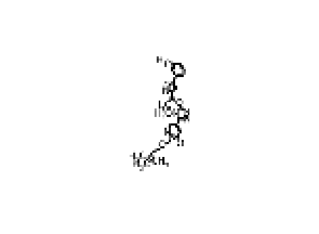 Cc1cccc(-c2cc([C@@H](C)Oc3nnc(-c4cnn(COCC[Si](C)(C)C)c(=O)c4)n3C)no2)c1